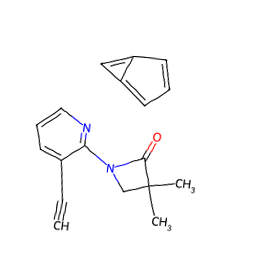 C#Cc1cccnc1N1CC(C)(C)C1=O.c1cc2cc-2c1